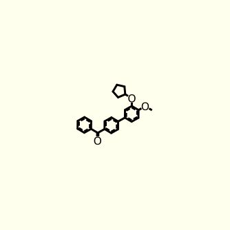 COc1ccc(-c2ccc(C(=O)c3ccccc3)cc2)cc1OC1CCCC1